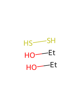 CCO.CCO.SS